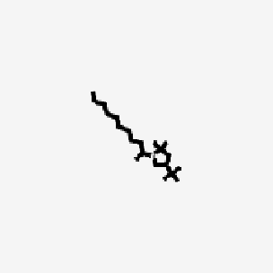 CCCCCCCCCC(C)N1CC(C(C)(C)C)CC1(C)C